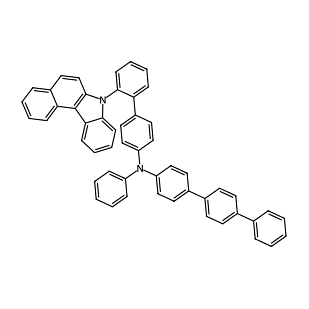 c1ccc(-c2ccc(-c3ccc(N(c4ccccc4)c4ccc(-c5ccccc5-n5c6ccccc6c6c7ccccc7ccc65)cc4)cc3)cc2)cc1